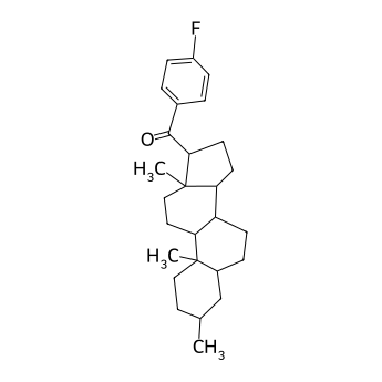 CC1CCC2(C)C(CCC3C2CCC2(C)C(C(=O)c4ccc(F)cc4)CCC32)C1